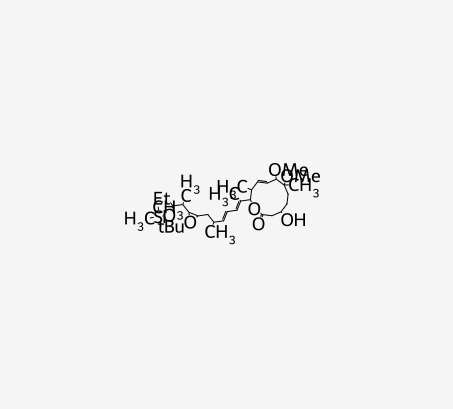 CCC(O[Si](C)(C)C(C)(C)C)C(C)C1OC1CC(C)/C=C/C=C(\C)C1OC(=O)CC(O)CCC(C)(OC)C(OC)/C=C/C1C